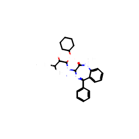 CC(C=O)C(O)C(NC1N=C(c2ccccc2)c2ccccc2N(C)C1=O)OC1CCCCC1